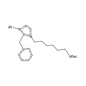 CCCCCCCCCCCCCCCCn1cc[n+](C(C)C)c1Cc1ccccc1